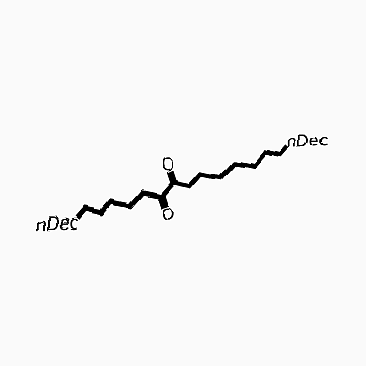 CCCCCCCCCCCCCCCCCC(=O)C(=O)CCCCCCCCCCCCCCC